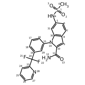 CS(=O)(=O)Nc1ccc2cc(C(N)=O)n(-c3cccc(C(F)(F)c4ccccn4)c3)c2c1